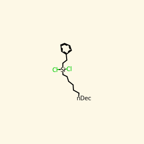 CCCCCCCCCCCCCCCC[Si](Cl)(Cl)CCc1ccccc1